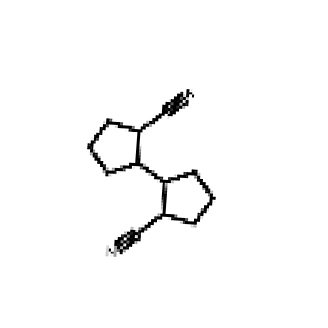 N#CC1CCCC1C1CCCC1C#N